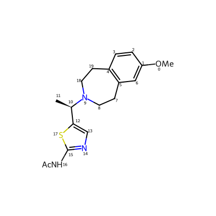 COc1ccc2c(c1)CCN([C@H](C)c1cnc(NC(C)=O)s1)CC2